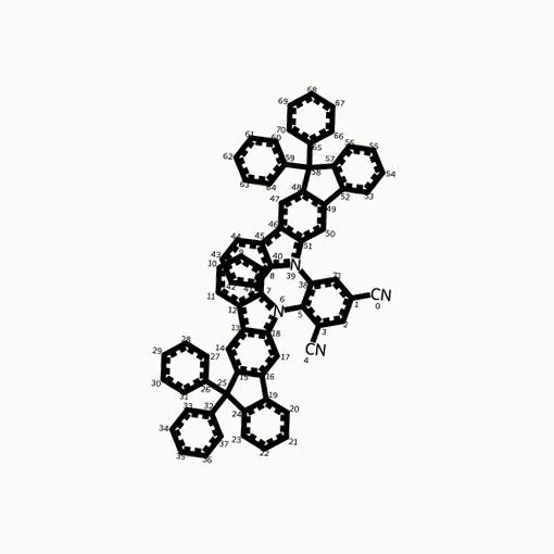 N#Cc1cc(C#N)c(-n2c3ccccc3c3cc4c(cc32)-c2ccccc2C4(c2ccccc2)c2ccccc2)c(-n2c3ccccc3c3cc4c(cc32)-c2ccccc2C4(c2ccccc2)c2ccccc2)c1